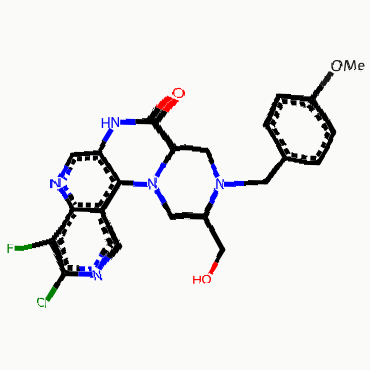 COc1ccc(CN2CC3C(=O)Nc4cnc5c(F)c(Cl)ncc5c4N3CC2CO)cc1